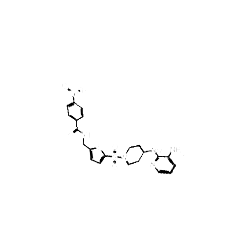 Nc1cccnc1NC1CCN(S(=O)(=O)c2ccc(CNC(=O)c3ccc([N+](=O)[O-])cc3)s2)CC1